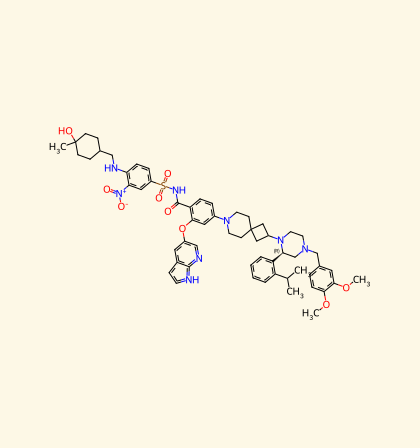 COc1ccc(CN2CCN(C3CC4(CCN(c5ccc(C(=O)NS(=O)(=O)c6ccc(NCC7CCC(C)(O)CC7)c([N+](=O)[O-])c6)c(Oc6cnc7[nH]ccc7c6)c5)CC4)C3)[C@H](c3ccccc3C(C)C)C2)cc1OC